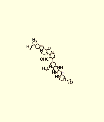 Cn1cc(-c2ccnc(N3CCn4c(cc5c4CC(C)(C)C5)C3=O)c2C=O)cc(NC(=N)/C=C2/CN(C3COC3)CCN2)c1=O